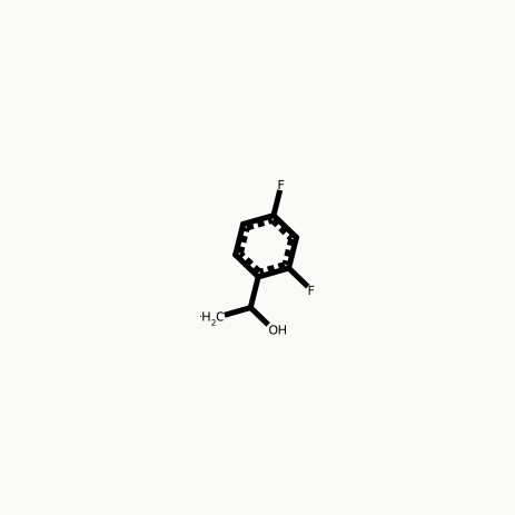 [CH2]C(O)c1ccc(F)cc1F